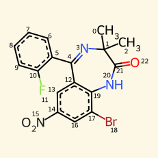 CC1(C)N=C(c2ccccc2F)c2cc([N+](=O)[O-])cc(Br)c2NC1=O